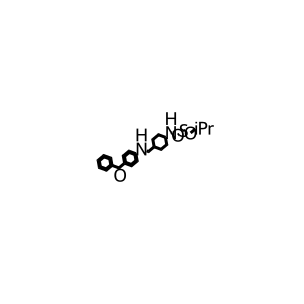 CC(C)OSONC1CCC(CNc2ccc(C(=O)c3ccccc3)cc2)CC1